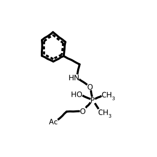 CC(=O)COP(C)(C)(O)ONCc1ccccc1